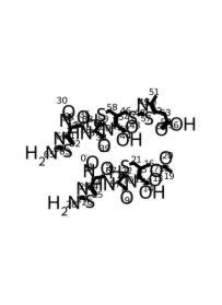 CO/N=C(\C(=O)N[C@@H]1C(=O)N2C(C(=O)O)=C(COC(C)=O)CS[C@H]12)c1csc(N)n1.CO/N=C(\C(=O)N[C@@H]1C(=O)N2C(C(=O)O)=C(CSc3nc(C)c(CC(=O)O)s3)CS[C@H]12)c1csc(N)n1